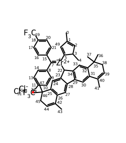 CC1=CC(C)[C]([Zr+2](=[C](c2ccc(C(F)(F)F)cc2)c2ccc(C(F)(F)F)cc2)[CH]2c3cc4c(cc3-c3cc5c(cc32)C(C)(C)CC=C5C)C(C)=CCC4(C)C)=C1.[Cl-].[Cl-]